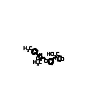 Cc1ccc(-c2nc(COc3cccc(CN4CCOCC4C(=O)O)c3)c(C)o2)cc1